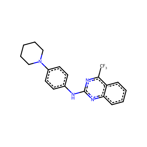 FC(F)(F)c1nc(Nc2ccc(N3CCCCC3)cc2)nc2ccccc12